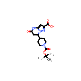 CC(C)(C)OC(=O)N1CCC(c2cc(=O)[nH]c3cc(C(=O)O)nn23)CC1